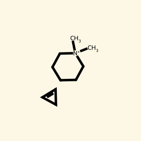 C1=CC1.C[N+]1(C)CCCCC1